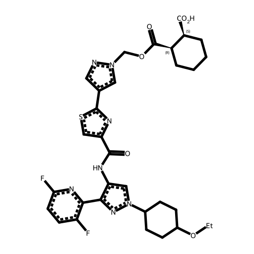 CCOC1CCC(n2cc(NC(=O)c3csc(-c4cnn(COC(=O)[C@@H]5CCCC[C@@H]5C(=O)O)c4)n3)c(-c3nc(F)ccc3F)n2)CC1